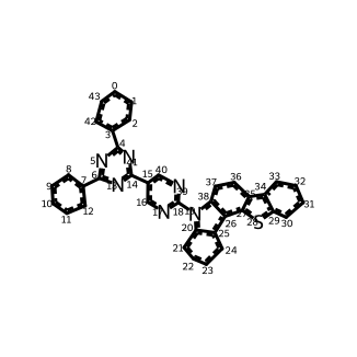 c1ccc(-c2nc(-c3ccccc3)nc(-c3cnc(-n4c5ccccc5c5c6sc7ccccc7c6ccc54)nc3)n2)cc1